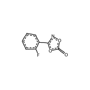 O=c1onc(-c2ccccc2F)o1